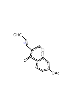 CC(=O)Oc1ccc2c(=O)c(/C=C/C=O)coc2c1